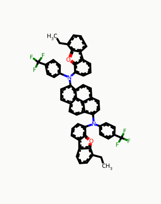 CCc1cccc2c1oc1c(N(c3ccc(C(F)(F)F)cc3)c3ccc4ccc5c(N(c6ccc(C(F)(F)F)cc6)c6cccc7c6oc6c(CC)cccc67)ccc6ccc3c4c65)cccc12